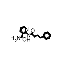 NC(=O)c1cccnc1NC(=O)[CH]CCc1ccccc1